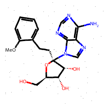 COc1ccccc1CC[C@@]1(n2cnc3c(N)ncnc32)O[C@H](CO)[C@@H](O)[C@H]1O